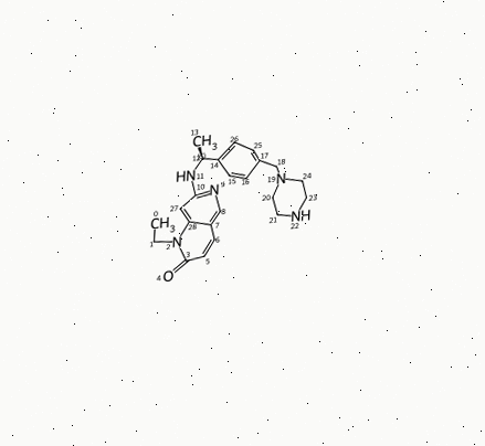 CCn1c(=O)ccc2cnc(N[C@@H](C)c3ccc(CN4CCNCC4)cc3)cc21